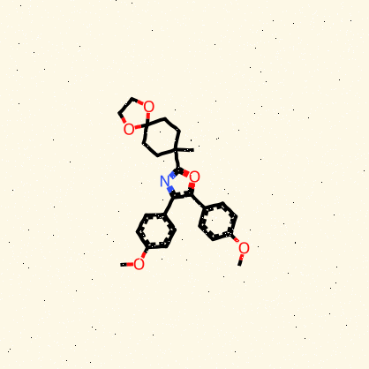 COc1ccc(-c2nc(C3(C)CCC4(CC3)OCCO4)oc2-c2ccc(OC)cc2)cc1